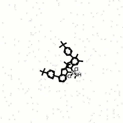 CC1=Cc2c(cc(C)c(C)c2-c2ccc(C(C)(C)C)cc2)[CH]1[Zr]([Cl])([Cl])([CH]1C(C(C)C)=Cc2c(-c3ccc(C(C)(C)C)cc3)cccc21)[SiH](C)C